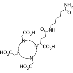 NC(=O)CCCCCNC(=O)CCC(C(=O)O)N1CCN(CC(=O)O)CCN(CC(=O)O)CCN(CC(=O)O)CC1